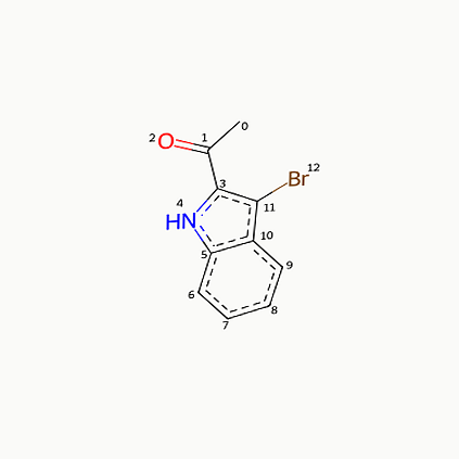 CC(=O)c1[nH]c2ccccc2c1Br